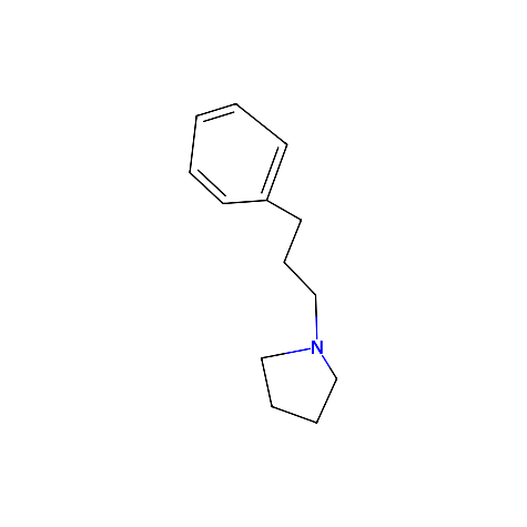 c1ccc(CCCN2CCCC2)cc1